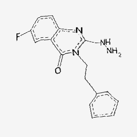 NNc1nc2ccc(F)cc2c(=O)n1CCc1ccccc1